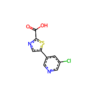 O=C(O)c1ncc(-c2cncc(Cl)c2)s1